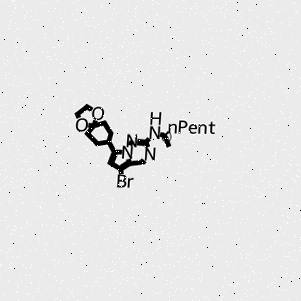 CCCCC[C@H](C)Nc1ncc2c(Br)cc(C3CCC4(CC3)OCCO4)n2n1